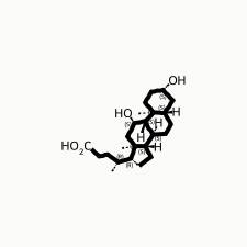 C[C@H](CCC(=O)O)[C@H]1CC[C@H]2[C@@H]3CC[C@H]4C[C@@H](O)CC[C@]4(C)[C@H]3[C@@H](O)C[C@]12C